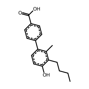 CCCCc1c(O)ccc(-c2ccc(C(=O)O)cc2)c1C